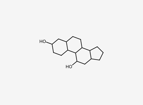 OC1CCC2C(CCC3C4CCCC4CC(O)C23)C1